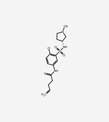 C=CCCC(=O)Nc1ccc(Cl)c(S(=O)(=O)N[C@@H]2CCN(C#N)C2)c1